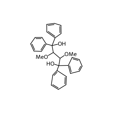 COC(C(OC)C(O)(c1ccccc1)c1ccccc1)C(O)(c1ccccc1)c1ccccc1